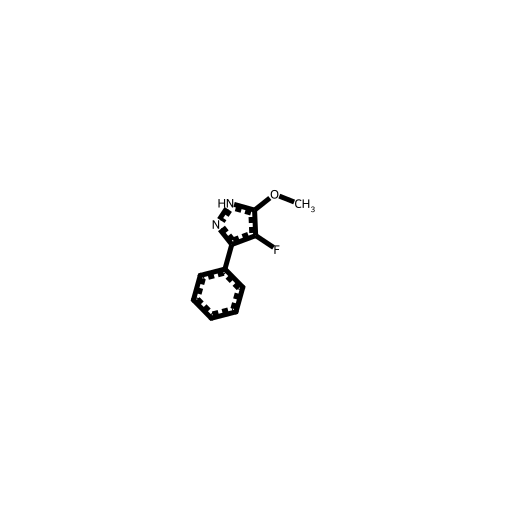 COc1[nH]nc(-c2ccccc2)c1F